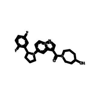 O=C(c1cnn2ccc(N3CCCC3c3cc(F)ccc3F)cc12)N1CCCC(O)CC1